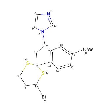 CCC1CCSC(CCn2ccnc2)(c2ccc(OC)cc2)S1